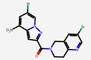 O=C(c1cc2c([N+](=O)[O-])cc(Br)cn2n1)N1CCc2ncc(Br)cc2C1